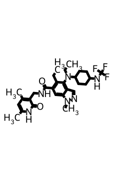 CCc1c(C(=O)NCc2c(C)cc(C)[nH]c2=O)cc2c(cnn2C)c1N(CC)C1CCC(NC(F)(F)F)CC1